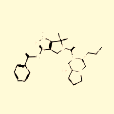 CCC[C@H]1CN2CCC[C@H]2CN1C(=O)N1Cc2c(NC(=O)c3ccccc3)n[nH]c2C1(C)C